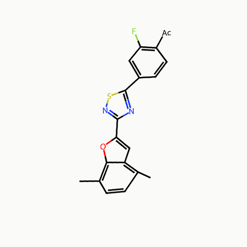 CC(=O)c1ccc(-c2nc(-c3cc4c(C)ccc(C)c4o3)ns2)cc1F